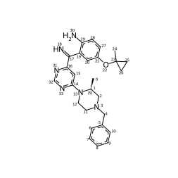 C[C@H]1CN(Cc2ccccc2)CCN1c1cc(C(=N)c2cc(OC3(C)CC3)ccc2N)ncn1